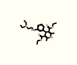 CCOC(=O)C1=C(C)NC(C)=C(C(=O)OCC)C1c1cccc(NCCN(CC)CC)c1